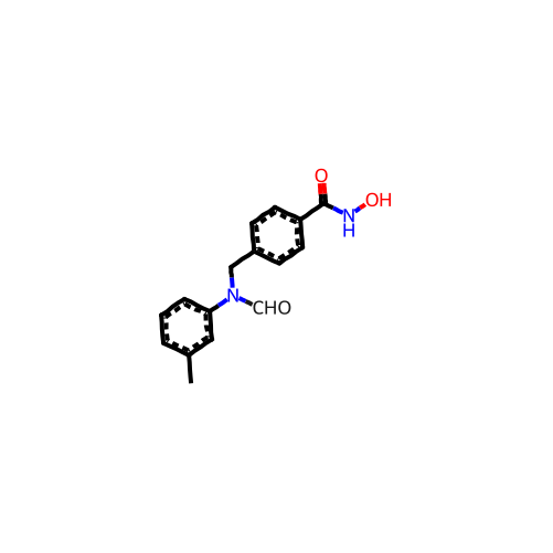 Cc1cccc(N(C=O)Cc2ccc(C(=O)NO)cc2)c1